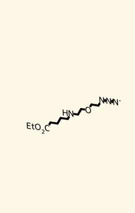 CCOC(=O)CCCCNCCOCCN=[N+]=[N-]